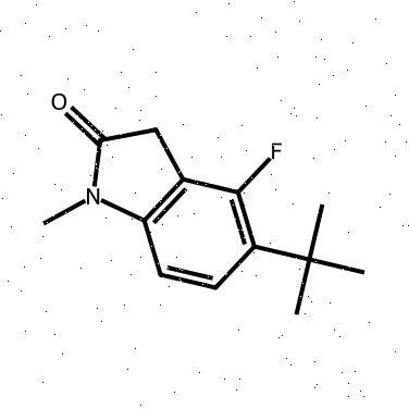 CN1C(=O)Cc2c1ccc(C(C)(C)C)c2F